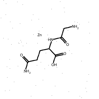 NCC(=O)NC(CCC(N)=O)C(=O)O.[Zn]